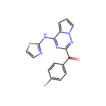 O=C(c1ccc(F)cc1)c1nc(Nc2nccs2)c2cccn2n1